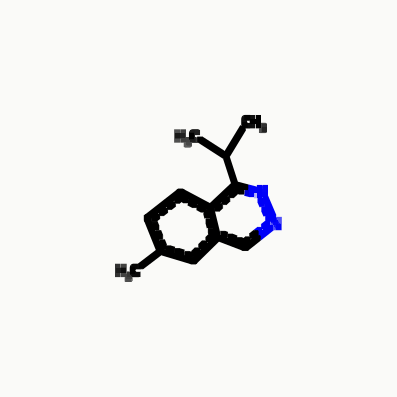 Cc1ccc2c(C(C)C)nncc2c1